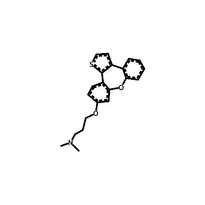 CN(C)CCCOc1ccc2c(c1)Oc1ccccc1-c1ccsc1-2